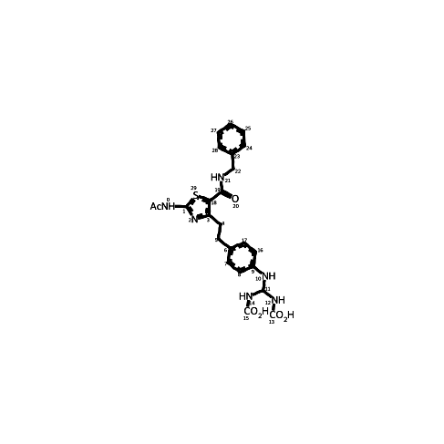 CC(=O)Nc1nc(CCc2ccc(NC(NC(=O)O)NC(=O)O)cc2)c(C(=O)NCc2ccccc2)s1